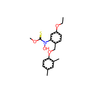 CCOc1ccc(COc2ccc(C)cc2C)c(N(O)C(=S)OC)c1